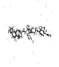 Cc1cc(C#N)ncc1N1CCN(C(=O)CCNCc2c(F)ccc3nccn23)[C@@H](C)C1